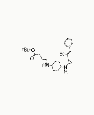 CC/C(=C\c1ccccc1)C1CC1NC1CCC(NCCCC(=O)OC(C)(C)C)CC1